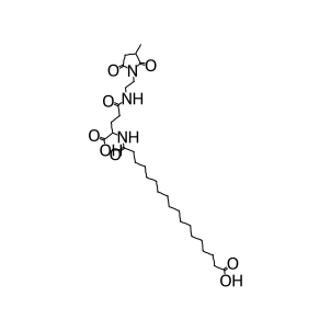 CC1CC(=O)N(CCNC(=O)CCC(NC(=O)CCCCCCCCCCCCCCCCC(=O)O)C(=O)O)C1=O